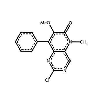 COc1c(-c2ccccc2)c2nc(Cl)ncc2n(C)c1=O